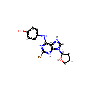 Oc1ccc(Nc2nc(S)nc3c2ncn3C2CCCO2)cc1